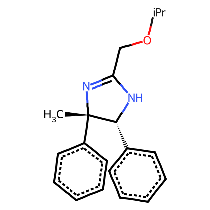 CC(C)OCC1=N[C@@](C)(c2ccccc2)[C@@H](c2ccccc2)N1